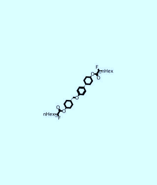 CCCCCC[C@H](F)C(=O)O[C@H]1CC[C@H](COc2ccc([C@H]3CC[C@H](OC(=O)[C@@H](F)CCCCCC)CC3)cc2)CC1